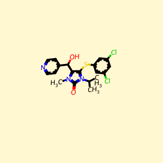 CC(C)n1c(Sc2cc(Cl)cc(Cl)c2)c(C(O)c2ccncc2)n(C)c1=O